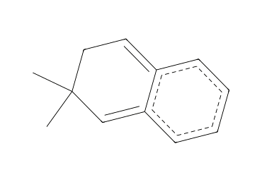 CC1(C)C=c2ccccc2=CC1